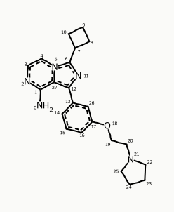 Nc1nccn2c(C3CCC3)nc(-c3cccc(OCCN4CCCC4)c3)c12